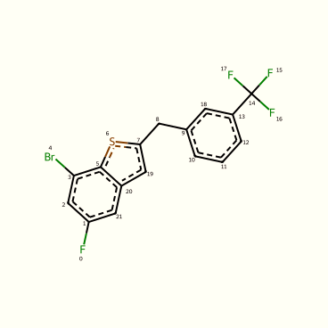 Fc1cc(Br)c2sc(Cc3cccc(C(F)(F)F)c3)cc2c1